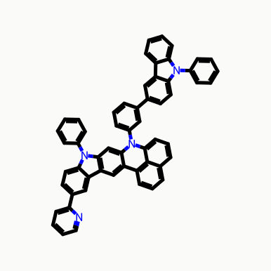 c1ccc(-n2c3ccccc3c3cc(-c4cccc(N5c6cc7c(cc6-c6cccc8cccc5c68)c5cc(-c6ccccn6)ccc5n7-c5ccccc5)c4)ccc32)cc1